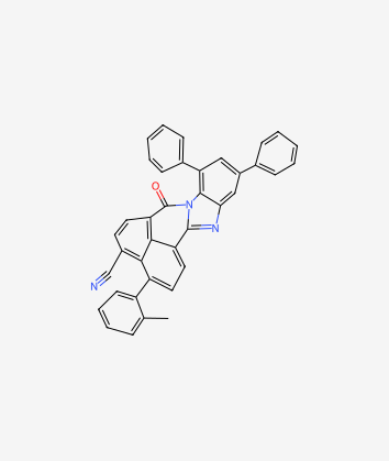 Cc1ccccc1-c1ccc2c3c1c(C#N)ccc3c(=O)n1c2nc2cc(-c3ccccc3)cc(-c3ccccc3)c21